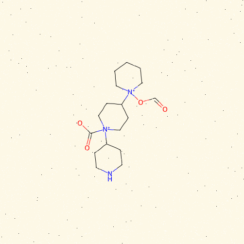 [O]C(=O)[N+]1(C2CCNCC2)CCC([N+]2(OC=O)CCCCC2)CC1